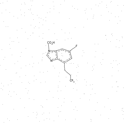 O=C(O)n1cnc2c(CCC(F)(F)F)cc(F)cc21